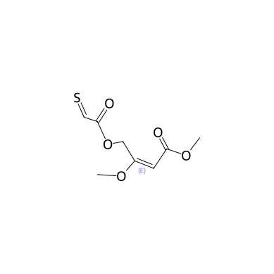 COC(=O)/C=C(\COC(=O)C=S)OC